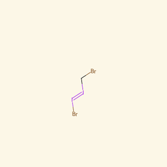 BrC/I=I/Br